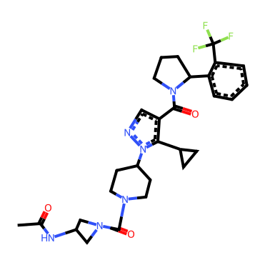 CC(=O)NC1CN(C(=O)N2CCC(n3ncc(C(=O)N4CCCC4c4ccccc4C(F)(F)F)c3C3CC3)CC2)C1